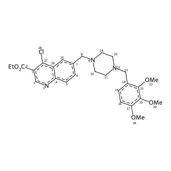 CCOC(=O)c1cnc2ccc(CN3CCN(Cc4ccc(OC)c(OC)c4OC)CC3)cc2c1Cl